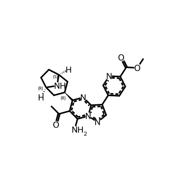 COC(=O)c1ccc(-c2cnn3c(N)c(C(C)=O)c([C@H]4C[C@H]5CC[C@@H](C4)N5)nc23)cn1